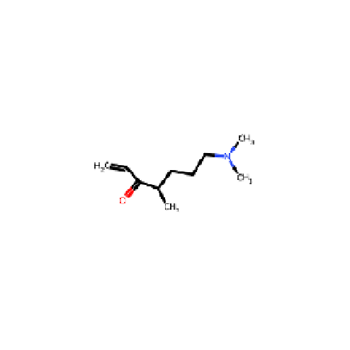 C=CC(=O)C(C)[CH]CCN(C)C